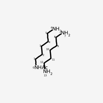 CC(=O)NCCCCCN.NCCCCCN